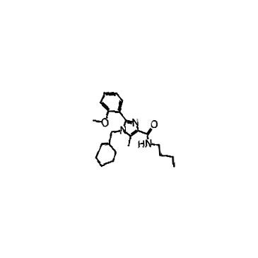 CCCCNC(=O)c1nc(-c2ccccc2OC)n(CC2CCCCC2)c1C